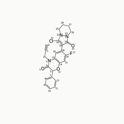 C#CCN1C(=O)C(c2ccccc2)Oc2cc(F)c(-c3c(Cl)n4n(c3=O)CCCC4)cc21